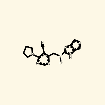 N#Cc1c(C[S+]([O-])c2nc3cscc3[nH]2)ncnc1N1CCCC1